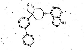 NCC1(c2cccc(-c3ccncc3)c2)CCN(c2ncnc3[nH]ccc23)CC1